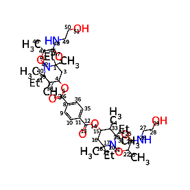 CCC1(C)CC(OC(=O)c2ccc(C(=O)OC3CC(C)(CC)N(OC(C)C(=O)NCCO)C(C)(CC)C3C)cc2)C(C)C(C)(CC)N1OC(C)C(=O)NCCO